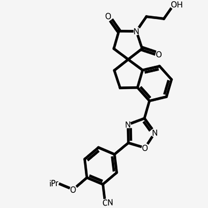 CC(C)Oc1ccc(-c2nc(-c3cccc4c3CCC43CC(=O)N(CCO)C3=O)no2)cc1C#N